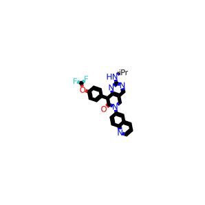 CC(C)Nc1ncc2c(n1)C(c1ccc(OC(F)F)cc1)C(=O)N(c1ccc3ncccc3c1)C2